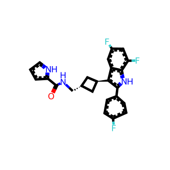 O=C(NC[C@H]1C[C@H](c2c(-c3ccc(F)cc3)[nH]c3c(F)cc(F)cc32)C1)c1ccc[nH]1